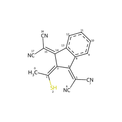 CC(S)=C1C(=C(C#N)C#N)c2ccccc2C1=C(C#N)C#N